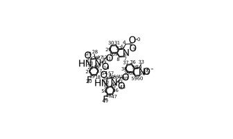 COC(=O)Cc1nccc2c(OCC(=O)N3c4ccc(F)cc4NC(=O)C3(C)C)cccc12.Cc1c2cccc(OCC(=O)N3c4ccc(F)cc4NC(=O)C3(C)C)c2cc[n+]1[O-]